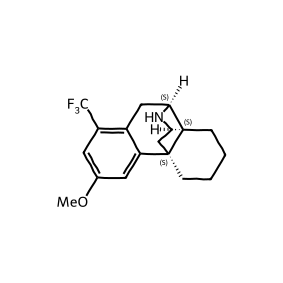 COc1cc(C(F)(F)F)c2c(c1)[C@]13CCCC[C@@H]1[C@H](C2)NCC3